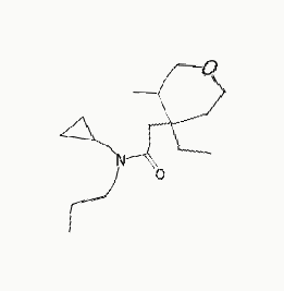 CCCN(C(=O)CC1(CC)CCOCC1C)C1CC1